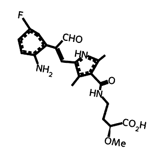 CO[C@@H](CCNC(=O)c1c(C)[nH]c(/C=C(\C=O)c2cc(F)ccc2N)c1C)C(=O)O